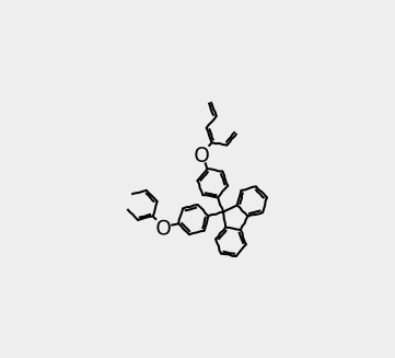 C=C/C=C(\C=C)Oc1ccc(C2(c3ccc(OC(/C=C\C)=C/C)cc3)c3ccccc3-c3ccccc32)cc1